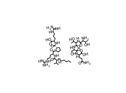 CC(O)C(N)C(=O)NC(C(=O)NC(CO)C(=O)NC(CCC(N)=O)C(=O)O)C(C)O.CCCCCNC(C(=O)NC(CCCNC(=N)N)C(=O)N1CCC[C@H]1C(=O)NC(CCCNC(=N)N)C(=O)O)C(C)C